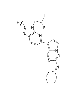 Cc1nc2ccc(-c3ccn4nc(N=C5CCCCC5)ncc34)nc2n1CC(F)F